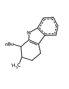 CCCCC1C2=C(CCC1C)c1ccccc1[N]2